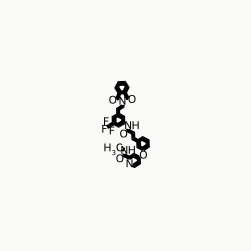 CNC(=O)c1cc(Oc2cccc(CCC(=O)Nc3cc(CCN4C(=O)c5ccccc5C4=O)cc(C(F)(F)F)c3)c2)ccn1